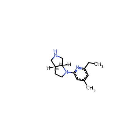 CCc1cc(C)cc(N2CC[C@@H]3CNC[C@@H]32)n1